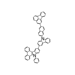 c1ccc(-n2c3ccc(-c4ccc5c(c4)c4ccccc4n5-c4ccc5cc(-c6cc7c8c(cccc8c6)-c6ccccc6-7)ccc5c4)cc3c3c4ccccc4c4ccccc4c32)cc1